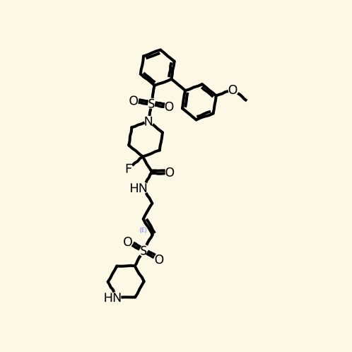 COc1cccc(-c2ccccc2S(=O)(=O)N2CCC(F)(C(=O)NC/C=C/S(=O)(=O)C3CCNCC3)CC2)c1